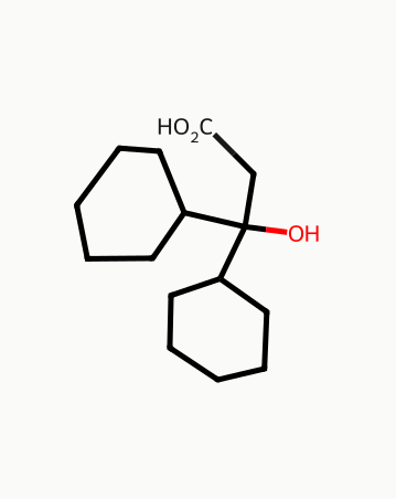 O=C(O)CC(O)(C1CCCCC1)C1CCCCC1